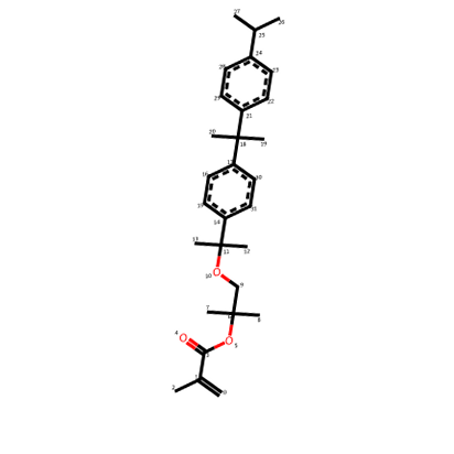 C=C(C)C(=O)OC(C)(C)COC(C)(C)c1ccc(C(C)(C)c2ccc(C(C)C)cc2)cc1